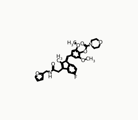 COc1cc(/C=C2/C(C)=C(CC(=O)NCc3ccco3)c3cc(F)ccc32)cc(OC)c1OC(=O)N1CCOCC1